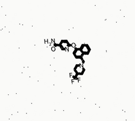 NC(=O)c1ccc(Oc2ccc(CN3CCC(C(F)(F)F)CC3)c3ccccc23)nc1